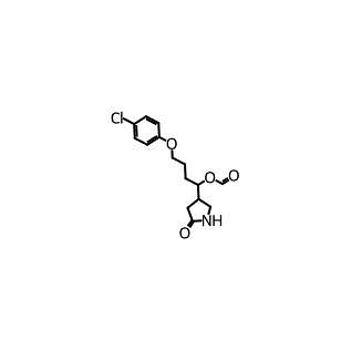 O=COC(CCCOc1ccc(Cl)cc1)C1CNC(=O)C1